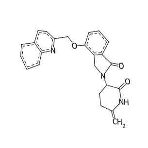 C=C1CCC(N2Cc3c(OCc4ccc5ccccc5n4)cccc3C2=O)C(=O)N1